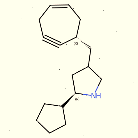 C1#C[C@@H](CC2CN[C@@H](C3CCCC3)C2)CC=CC1